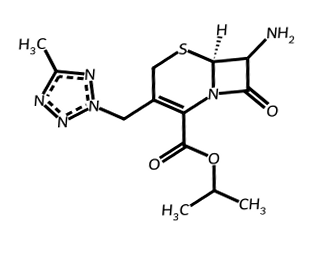 Cc1nnn(CC2=C(C(=O)OC(C)C)N3C(=O)C(N)[C@@H]3SC2)n1